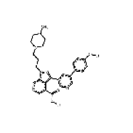 COC(=O)c1cccc2c1c(-c1cncc(-c3ccc(OC)cc3)c1)cn2CCCN1CCN(C)CC1